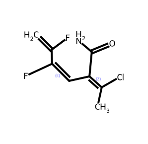 C=C(F)/C(F)=C\C(C(N)=O)=C(/C)Cl